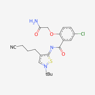 CC(C)(C)n1cc(CCCC#N)/c(=N/C(=O)c2cc(Cl)ccc2OCC(N)=O)s1